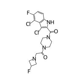 O=C(CN1CC(F)C1)N1CCN(C(=O)c2[nH]c3ccc(F)c(Cl)c3c2Cl)CC1